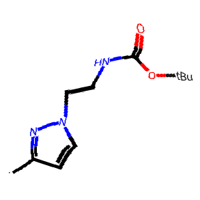 [CH2]c1ccn(CCNC(=O)OC(C)(C)C)n1